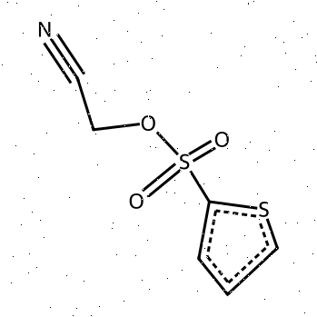 N#CCOS(=O)(=O)c1cccs1